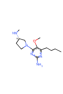 CCCCc1nc(N)nc(N2CC[C@H](NC)C2)c1OC